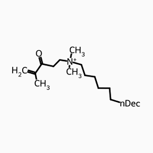 C=C(C)C(=O)CC[N+](C)(C)CCCCCCCCCCCCCCCC